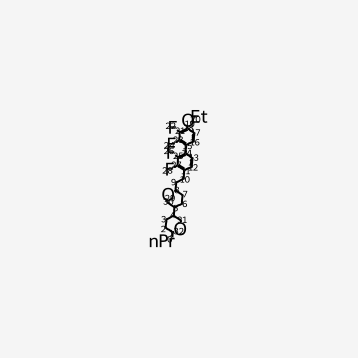 CCCC1CCC(C2CCC(CCc3ccc(-c4ccc(OCC)c(F)c4F)c(F)c3F)OC2)CO1